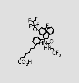 O=C(O)CCCCCCc1cccc(C(Cc2ccccc2)(NC(=O)NCC(F)(F)F)c2cc(F)cc(OC(F)(F)C(F)F)c2)c1